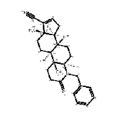 C[C@]12CCC(=O)N(Cc3ccccc3)[C@@H]1CC[C@@H]1[C@@H]2CC[C@]2(C)C(C#N)=CC[C@@H]12